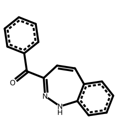 O=C(C1=NNc2ccccc2C=C1)c1ccccc1